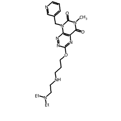 CCN(CC)CCNCCCOc1nnc2c(n1)c(=O)n(C)c(=O)n2Cc1cccnc1